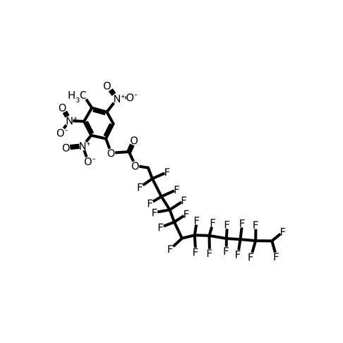 Cc1c([N+](=O)[O-])cc(OC(=O)OCC(F)(F)C(F)(F)C(F)(F)C(F)(F)C(F)C(F)(F)C(F)(F)C(F)(F)C(F)(F)C(F)(F)C(F)F)c([N+](=O)[O-])c1[N+](=O)[O-]